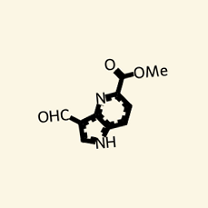 COC(=O)c1ccc2[nH]cc(C=O)c2n1